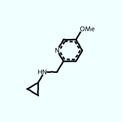 COc1ccc(CNC2CC2)nc1